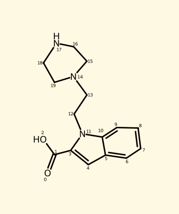 O=C(O)c1cc2ccccc2n1CCN1CCNCC1